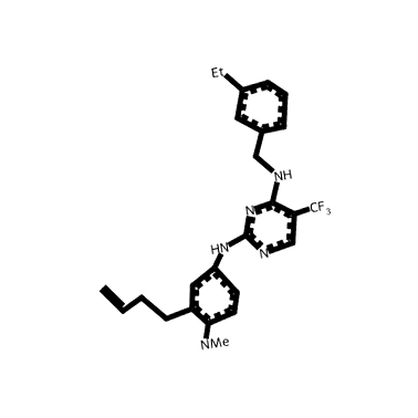 C=CCCc1cc(Nc2ncc(C(F)(F)F)c(NCc3cccc(CC)c3)n2)ccc1NC